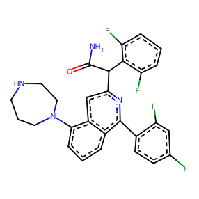 NC(=O)C(c1cc2c(N3CCCNCC3)cccc2c(-c2ccc(F)cc2F)n1)c1c(F)cccc1F